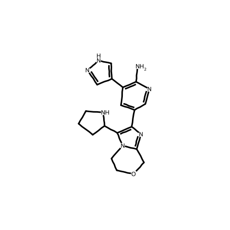 Nc1ncc(-c2nc3n(c2C2CCCN2)CCOC3)cc1-c1cn[nH]c1